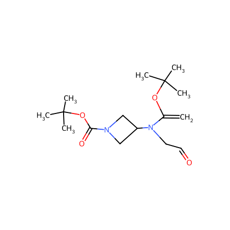 C=C(OC(C)(C)C)N(CC=O)C1CN(C(=O)OC(C)(C)C)C1